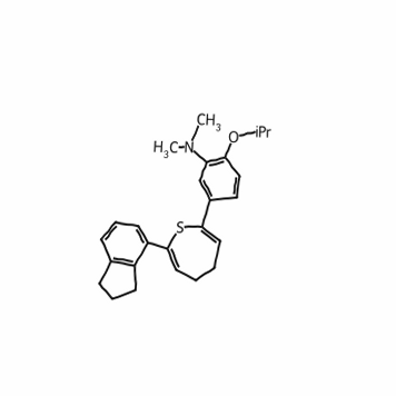 CC(C)Oc1ccc(C2=CCCC=C(c3cccc4c3CCC4)S2)cc1N(C)C